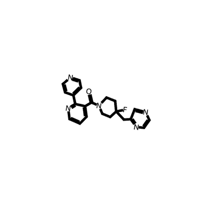 O=C(c1cccnc1-c1ccncc1)N1CCC(F)(Cc2cnccn2)CC1